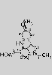 CCn1ncc2c(Nc3cccc(OC)c3)c(/C=N/O)cnc21